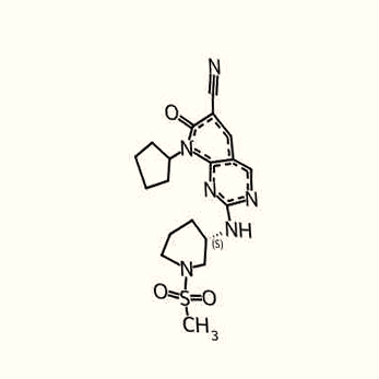 CS(=O)(=O)N1CCC[C@H](Nc2ncc3cc(C#N)c(=O)n(C4CCCC4)c3n2)C1